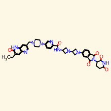 CCc1cc2ncc(CN3CCN(c4ccc(C(=O)NC5CN(C6CN(c7ccc8c(c7)C(=O)N(C7CCC(=O)NC7=O)C8=O)C6)C5)nc4)CC3)cc2[nH]c1=O